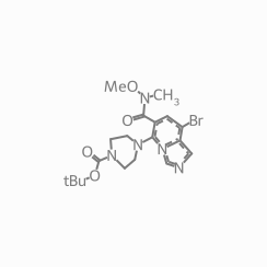 CON(C)C(=O)c1cc(Br)c2cncn2c1N1CCN(C(=O)OC(C)(C)C)CC1